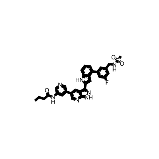 CCCC(=O)Nc1cncc(-c2cnc3[nH]nc(-c4cc5c(-c6cc(F)cc(CNS(C)(=O)=O)c6)cccc5[nH]4)c3c2)c1